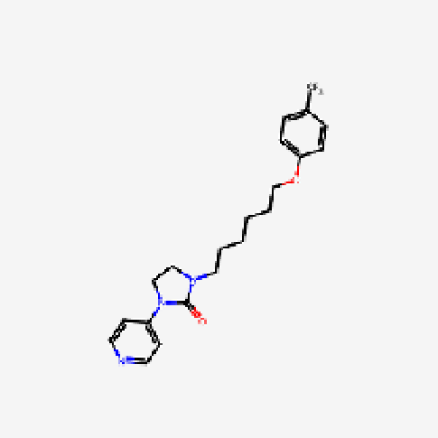 O=C1N(CCCCCCOc2ccc(C(F)(F)F)cc2)CCN1c1ccncc1